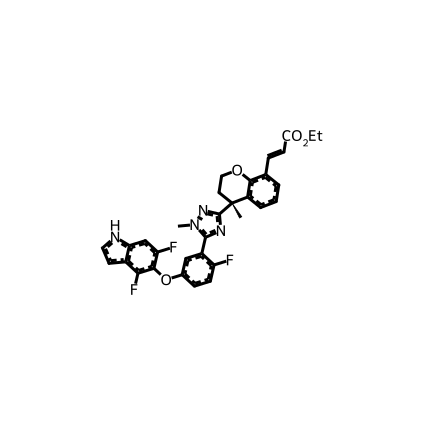 CCOC(=O)/C=C/c1cccc2c1OCC[C@@]2(C)c1nc(-c2cc(Oc3c(F)cc4[nH]ccc4c3F)ccc2F)n(C)n1